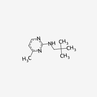 Cc1ccnc(NCC(C)(C)C)n1